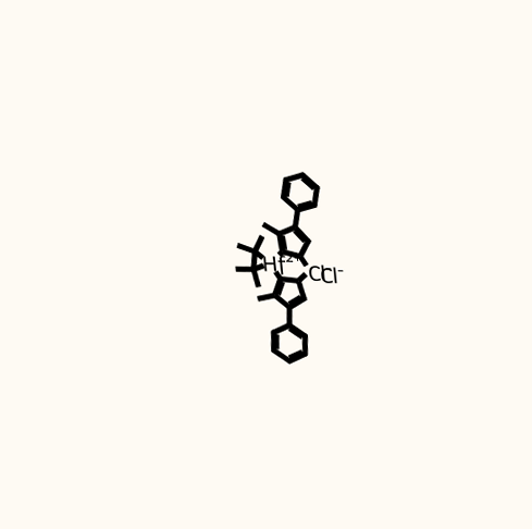 CC1=[C]([Hf+2]2([C]3=C(C)C(c4ccccc4)=CC3C)[C](C)(C)[C]2(C)C)C(C)C=C1c1ccccc1.[Cl-].[Cl-]